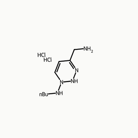 CCCCNN1C=CC(CN)=NN1.Cl.Cl